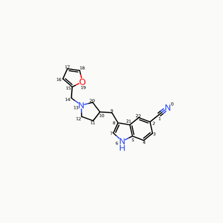 N#Cc1ccc2[nH]cc(CC3CCN(Cc4ccco4)C3)c2c1